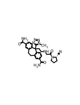 Cn1nnnc1C1(CCNCC(=O)N2CCC[C@H]2C#N)c2ccc(C(N)=O)cc2CCc2cc(C(N)=O)ccc21